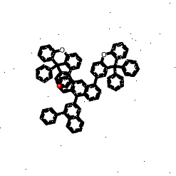 c1ccc(-c2cc(-c3c4cccc(-c5ccc6c(c5)C(c5ccccc5)(c5ccccc5)c5ccccc5O6)c4cc4c(-c5cccc6c5C(c5ccccc5)(c5ccccc5)c5ccccc5O6)cccc34)cc3ccccc23)cc1